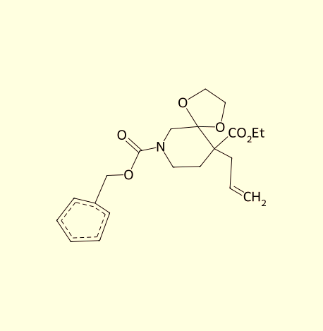 C=CCC1(C(=O)OCC)CCN(C(=O)OCc2ccccc2)CC12OCCO2